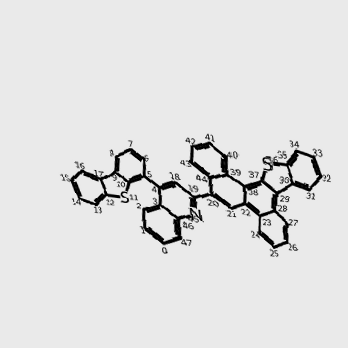 c1ccc2c(-c3cccc4c3sc3ccccc34)cc(-c3cc4c5ccccc5c5c6ccccc6sc5c4c4ccccc34)nc2c1